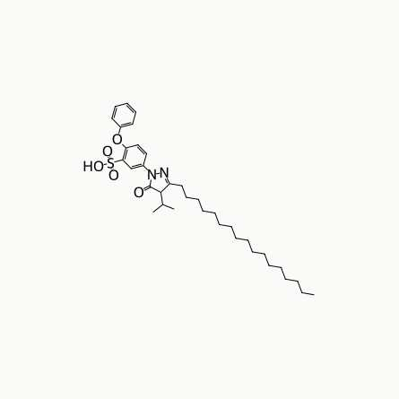 CCCCCCCCCCCCCCCCCC1=NN(c2ccc(Oc3ccccc3)c(S(=O)(=O)O)c2)C(=O)C1C(C)C